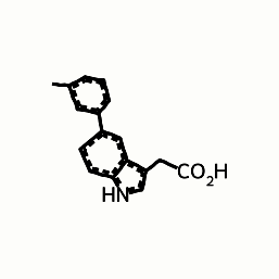 Cc1cccc(-c2ccc3[nH]cc(CC(=O)O)c3c2)c1